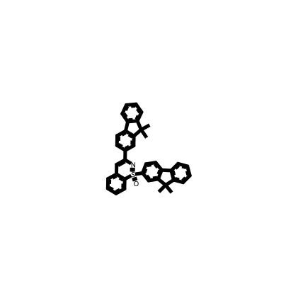 CC1(C)c2ccccc2-c2ccc(C3=Cc4ccccc4S(=O)(c4ccc5c(c4)C(C)(C)c4ccccc4-5)=N3)cc21